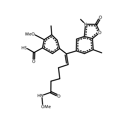 CONC(=O)CCC/C=C(\c1cc(C)c(OC)c(C(=O)S)c1)c1cc(C)c2oc(=O)n(C)c2c1